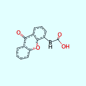 O=C(O)Bc1cccc2c(=O)c3ccccc3oc12